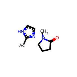 CC(=O)c1ncc[nH]1.CN1CCCC1=O